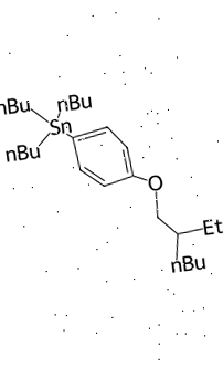 CCCCC(CC)COc1cc[c]([Sn]([CH2]CCC)([CH2]CCC)[CH2]CCC)cc1